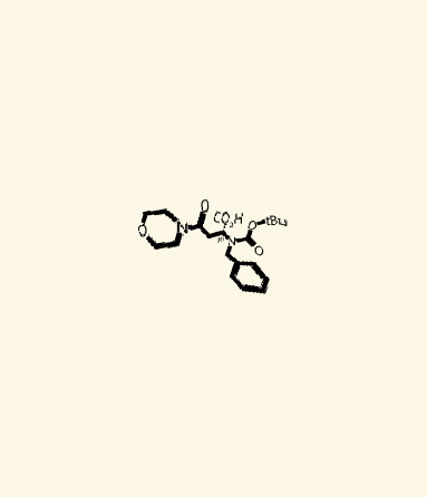 CC(C)(C)OC(=O)N(Cc1ccccc1)[C@H](CC(=O)N1CCOCC1)C(=O)O